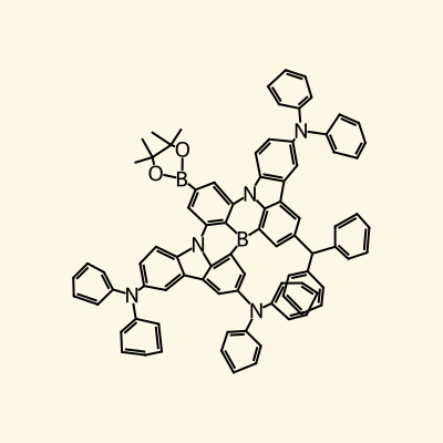 CC1(C)OB(c2cc3c4c(c2)-n2c5ccc(N(c6ccccc6)c6ccccc6)cc5c5cc(N(c6ccccc6)c6ccccc6)cc(c52)B4c2cc(C(c4ccccc4)c4ccccc4)cc4c5cc(N(c6ccccc6)c6ccccc6)ccc5n-3c24)OC1(C)C